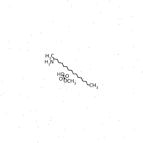 CCCCCCCCCCCCCCCC(C)N.COS(=O)(=O)O